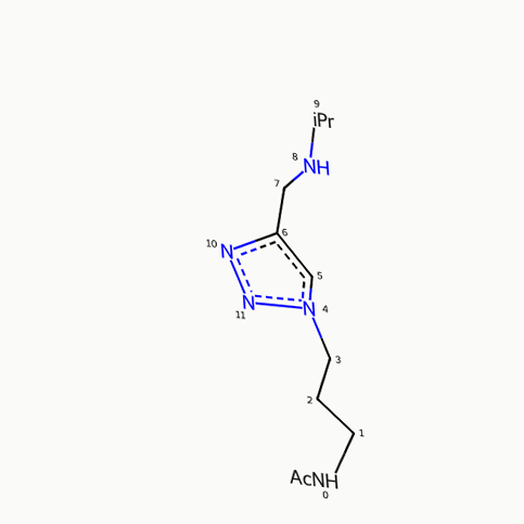 CC(=O)NCCCn1cc(CNC(C)C)nn1